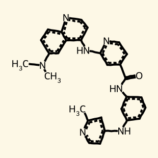 Cc1cc(Nc2cccc(NC(=O)c3ccnc(Nc4ccnc5ccc(N(C)C)cc45)c3)c2)ccn1